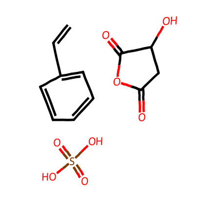 C=Cc1ccccc1.O=C1CC(O)C(=O)O1.O=S(=O)(O)O